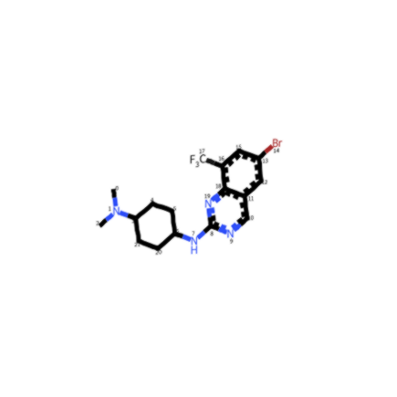 CN(C)C1CCC(Nc2ncc3cc(Br)cc(C(F)(F)F)c3n2)CC1